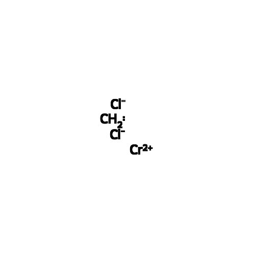 [CH2].[Cl-].[Cl-].[Cr+2]